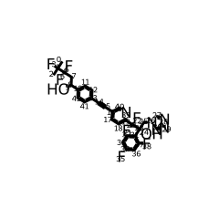 CC(C)(F)C(F)(F)CC(O)c1ccc(C#Cc2ccc(C(F)(F)C(O)(Cn3cnnn3)c3ccc(F)cc3F)nc2)cc1